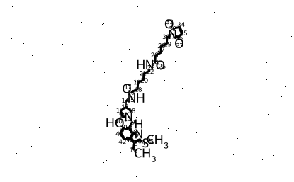 CCc1c(SC)[nH]c2c(CN3CC[C@@H](CNC(=O)CCCCCNC(=O)CCCCCN4C(=O)C=CC4=O)C3)c(O)ccc12